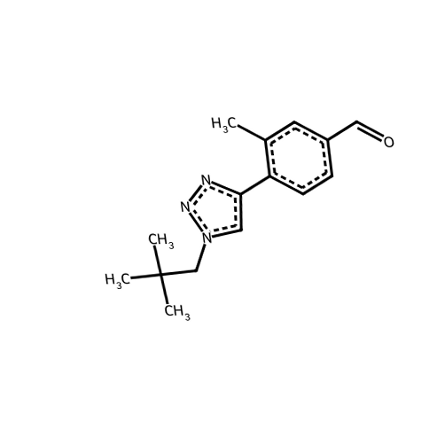 Cc1cc(C=O)ccc1-c1cn(CC(C)(C)C)nn1